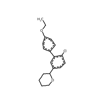 CCOc1ccc(-c2cc(C3CCCCO3)ccc2Cl)cc1